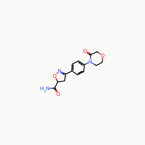 NC(=O)C1CC(c2ccc(N3CCOCC3=O)cc2)=NO1